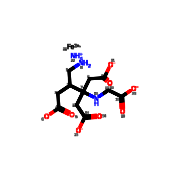 NCC(CC(=O)[O-])C(CC(=O)[O-])(CC(=O)[O-])NCC(=O)[O-].[Fe+3].[NH4+]